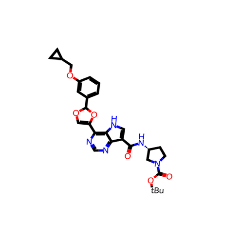 CC(C)(C)OC(=O)N1CC[C@@H](NC(=O)c2c[nH]c3c(C4=COC(c5cccc(OCC6CC6)c5)O4)ncnc23)C1